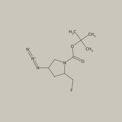 CC(C)(C)OC(=O)N1CC(N=[N+]=[N-])CC1CF